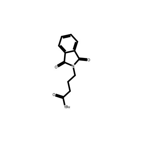 CC(C)(C)C(=O)CCCN1C(=O)c2ccccc2C1=O